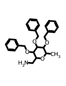 CC1OC(CN)C(OCc2ccccc2)C(OCc2ccccc2)C1OCc1ccccc1